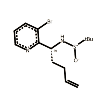 C=CCC[C@@H](N[S+]([O-])C(C)(C)C)c1ncccc1Br